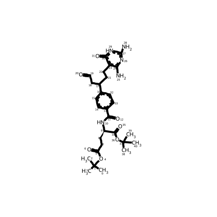 CC(C)(C)OC(=O)CC[C@@H](NC(=O)c1ccc(C(CC=O)CCc2c(N)nc(N)[nH]c2=O)cc1)C(=O)OC(C)(C)C